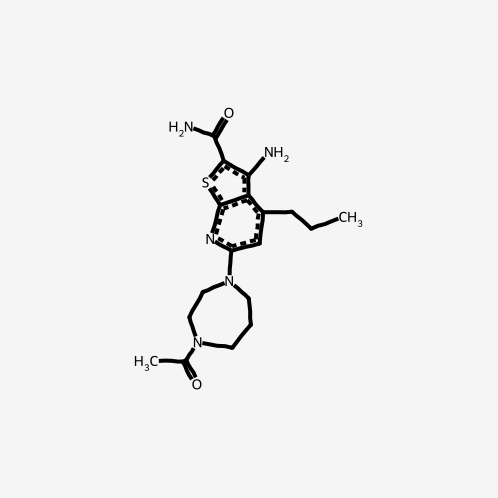 CCCc1cc(N2CCCN(C(C)=O)CC2)nc2sc(C(N)=O)c(N)c12